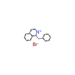 C[n+]1ccc2ccccc2c1Cc1ccccc1.[Br-]